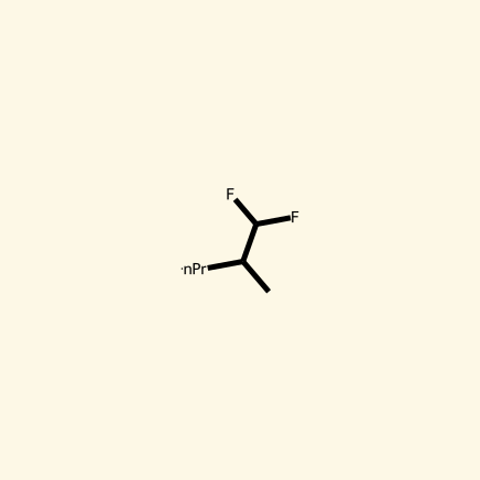 CC[CH]C(C)C(F)F